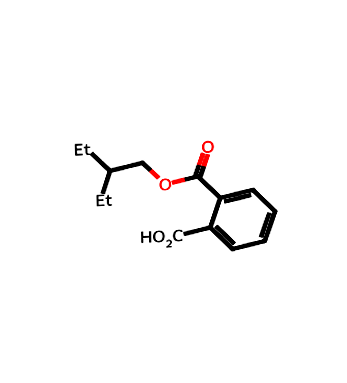 CCC(CC)COC(=O)c1ccccc1C(=O)O